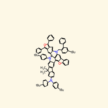 CC(C)(C)c1ccc(N2B3c4cc5c(-c6ccccc6)oc(-c6ccccc6)c5cc4N(Cc4ccc(C(C)(C)C)cc4-c4ccccc4)c4cc5c(oc6ccccc65)c(c43)-c3cc4c(cc32)C(C)(C)c2cc(N(c3ccc(C(C)(C)C)cc3)c3ccc(C(C)(C)C)cc3)ccc2-4)cc1